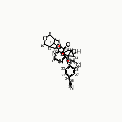 CC1(OC(=O)N2CC3COCC(C2)C3Oc2ncnc(Nc3ccc(C#N)cc3Cl)c2CO)CC1